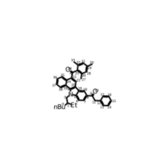 CCCCC(CC)Cn1c2ccc(C(=O)Cc3ccccc3)cc2c2cc(C(=O)c3c(C)cc(C)cc3C)c3ccccc3c21